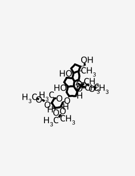 COCO[C@@H]1[C@H]2OC(C)(C)O[C@H]2[C@H](O[C@H]2C[C@H]3OC(C)(C)OC[C@]34C3C(CC[C@]4(O)C2)[C@@]2(O)CC[C@H](CO)[C@@]2(C)C[C@H]3OCOC)O[C@H]1C